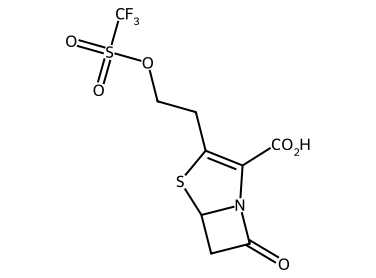 O=C(O)C1=C(CCOS(=O)(=O)C(F)(F)F)SC2CC(=O)N12